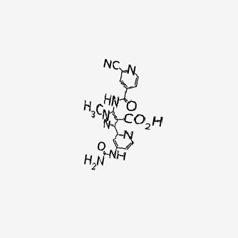 Cn1nc(-c2cc(NC(N)=O)ccn2)c(C(=O)O)c1NC(=O)c1ccnc(C#N)c1